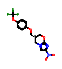 O=[N+]([O-])c1cn2c(n1)OC[C@@H](COc1ccc(OC(F)(F)F)cc1)C2